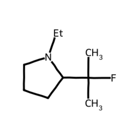 CCN1CCCC1C(C)(C)F